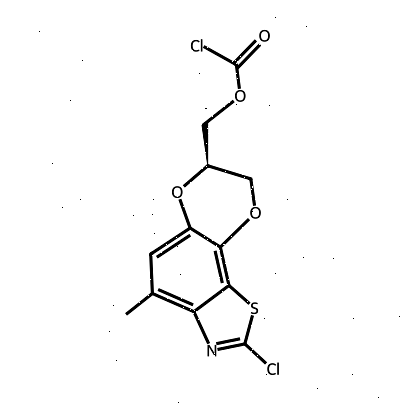 Cc1cc2c(c3sc(Cl)nc13)OC[C@H](COC(=O)Cl)O2